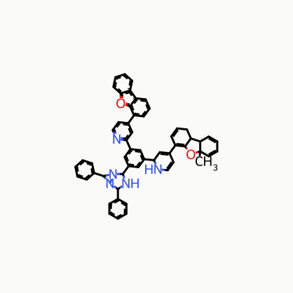 CC12C=CC=CC1C1CC=CC(C3=CC(c4cc(-c5cc(-c6cccc7c6oc6ccccc67)ccn5)cc(C5NC(c6ccccc6)N6C(c7ccccc7)N56)c4)NC=C3)=C1O2